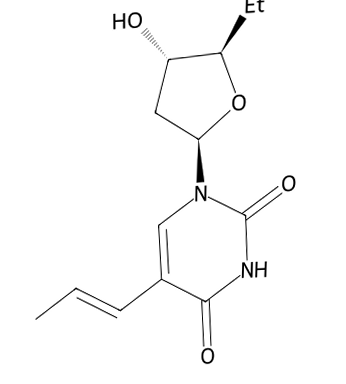 C/C=C/c1cn([C@H]2C[C@H](O)[C@@H](CC)O2)c(=O)[nH]c1=O